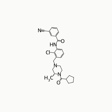 C[C@H]1CN(Cc2cccc(NC(=O)c3cccc(C#N)c3)c2Cl)CCN1C(=O)C1CCCC1